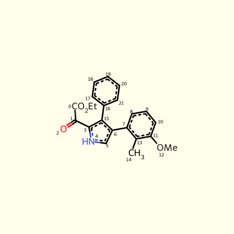 CCOC(=O)C(=O)c1[nH]cc(-c2cccc(OC)c2C)c1-c1ccccc1